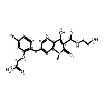 Cn1c(=O)c(C(=O)NCCO)c(O)c2ncc(Cc3ccc(F)cc3OCC(N)=O)cc21